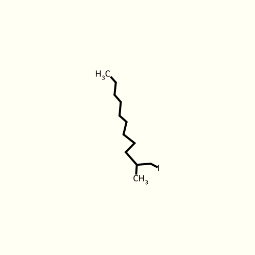 CCCCCCCCCC(C)CI